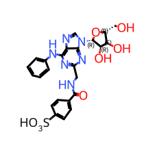 O=C(NCc1nc(Nc2ccccc2)c2ncn([C@@H]3O[C@H](CO)[C@@H](O)[C@H]3O)c2n1)c1ccc(S(=O)(=O)O)cc1